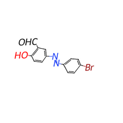 O=Cc1cc(N=Nc2ccc(Br)cc2)ccc1O